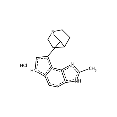 Cc1nc2c(ccc3[nH]cc(C4CN5CCC4CC5)c32)[nH]1.Cl